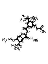 Br.CCOc1cc2c(cc1C(=O)NC)C(=N)N(CC(=O)c1cc(CCC(=O)O)c(OC)c(C(C)(C)C)c1)C2